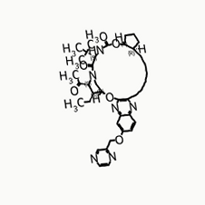 CC[C@@H]1[C@@H]2CN(C(=O)[C@H](C(C)(C)C)NC(=O)O[C@@H]3CCC[C@H]3CCCCCCc3nc4ccc(OCc5cnccn5)cc4nc3O2)[C@@H]1C(C)=O